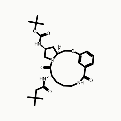 CC(C)(C)CC(=O)N[C@H]1CCCNC(=O)c2cccc(c2)OC[C@@H]2C[C@H](NC(=O)OC(C)(C)C)CN2C1=O